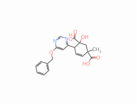 CC1(C(=O)O)C=CC(c2cc(OCc3ccccc3)ncn2)C(O)(C(=O)O)C1